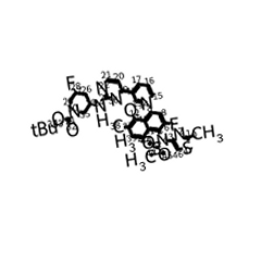 Cc1nc(N(c2c(F)ccc3c(Oc4ncccc4-c4ccnc(N[C@@H]5C[C@@H](F)CN(C(=O)OC(C)(C)C)C5)n4)c(C)ccc23)S(C)(=O)=O)cs1